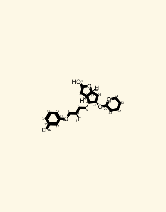 OC1C[C@@H]2[C@@H](CC[C@@H](F)COc3cccc(Cl)c3)[C@H](OC3CCCCO3)C[C@@H]2O1